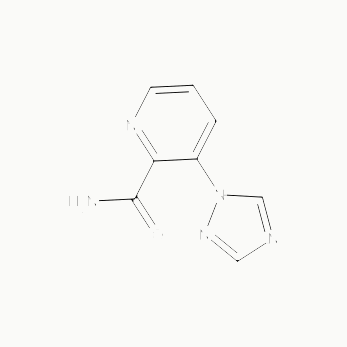 NC(=O)c1ncccc1-n1cncn1